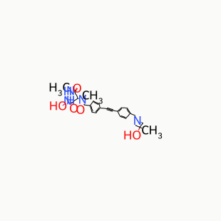 CNC(=O)C(C(=O)NO)N(C)C(=O)c1ccc(C#Cc2ccc(CN3CC(C)(O)C3)cc2)cc1